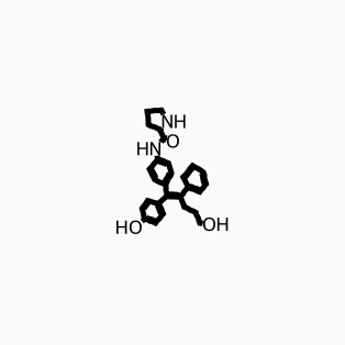 O=C(Nc1ccc(/C(=C(/CCCO)c2ccccc2)c2ccc(O)cc2)cc1)C1CCCN1